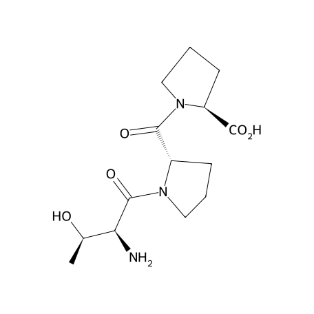 C[C@@H](O)[C@H](N)C(=O)N1CCC[C@H]1C(=O)N1CCC[C@H]1C(=O)O